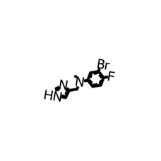 CN(Cc1c[nH]cn1)c1ccc(F)c(Br)c1